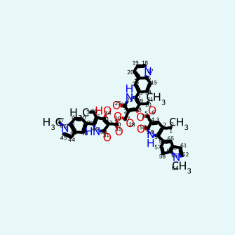 CCc1cc(C(=O)Oc2c(CC)c(-c3ccc4ncccc4c3)[nH]c(=O)c2C(=O)OC(=O)c2c(O)c(CC)c(-c3ccc4c(ccn4C)c3)[nH]c2=O)c(=O)[nH]c1-c1ccc2c(ccn2C)c1